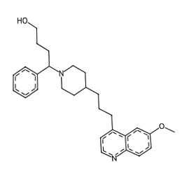 COc1ccc2nccc(CCCC3CCN(C(CCCO)c4ccccc4)CC3)c2c1